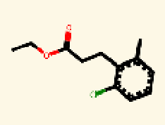 CCOC(=O)CCc1c(C)cccc1Cl